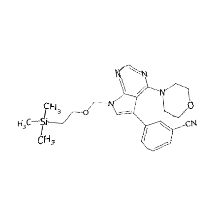 C[Si](C)(C)CCOCn1cc(-c2cccc(C#N)c2)c2c(N3CCOCC3)ncnc21